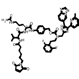 Cc1cccc(-c2nc(CN(CCc3c(F)cccc3F)C(=O)OCc3ccc(NC(=O)[C@H](CCCNC(N)=O)NC(=O)C(NC(=O)CCCCCN4C(=O)C=CC4=O)C(C)C)cc3)[nH]c2-c2ccc3ncnn3c2)n1